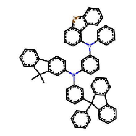 CC1(C)c2ccccc2-c2ccc(N(c3cccc(N(c4ccccc4)c4cccc5sc6ccccc6c45)c3)c3cccc(C4(c5ccccc5)c5ccccc5-c5ccccc54)c3)cc21